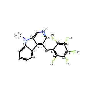 Cn1c2ccccc2c2c(Cc3c(F)c(F)c(F)c(F)c3F)cncc21